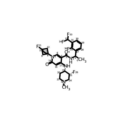 CC(NC(=O)c1cn(C23CC(F)(C2)C3)c(=O)cc1N[C@H]1CCN(C)C[C@H]1F)c1cccc(C(F)F)c1F